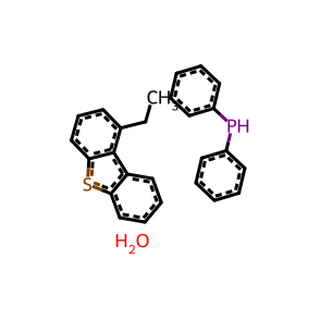 CCc1cccc2sc3ccccc3c12.O.c1ccc(Pc2ccccc2)cc1